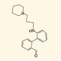 O=Cc1ccccc1-c1ccccc1NCCCN1CCCCC1